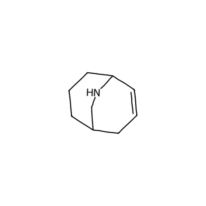 C1=CC2CCCC(C1)CN2